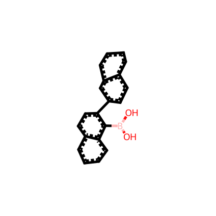 OB(O)c1c(-c2ccc3ccccc3c2)ccc2ccccc12